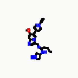 C#CN/C=C\C(=C/C)c1cn2c(C/N=C(\C=C/C=C)NC3CCNC3)cnc2cc1OC